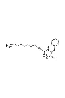 CCCCCCC=CC#CC(=O)N[C@@H](Cc1ccccc1)C(=O)O